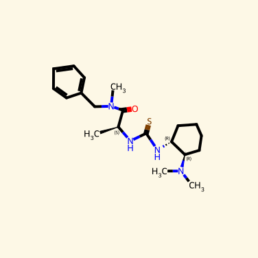 C[C@H](NC(=S)N[C@@H]1CCCC[C@H]1N(C)C)C(=O)N(C)Cc1ccccc1